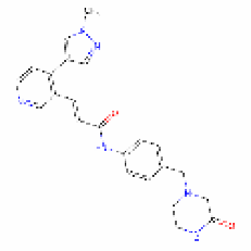 Cn1cc(-c2ccncc2C=CC(=O)Nc2ccc(CN3CCNC(=O)C3)cc2)cn1